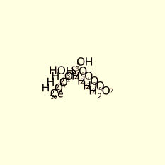 O.O.O.O.O.O.O.O.O=S(=O)(O)O.[Ce]